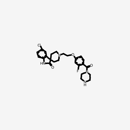 O=C(c1ccc(OCCN2CCC3(CC2)C(=O)Nc2ccc(Cl)cc23)cc1F)N1CCNCC1